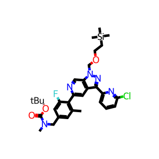 Cc1cc(CN(C)C(=O)OC(C)(C)C)cc(F)c1-c1cc2c(-c3cccc(Cl)n3)nn(COCC[Si](C)(C)C)c2cn1